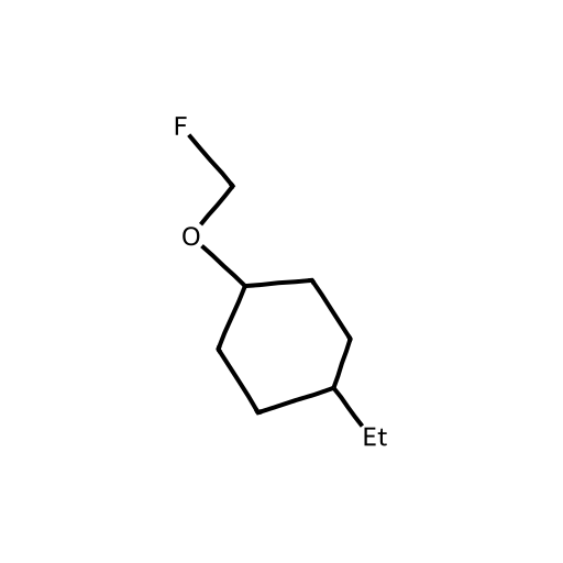 CCC1CCC(OCF)CC1